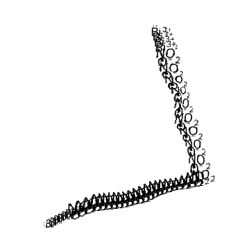 O=[N+]([O-])[O-].O=[N+]([O-])[O-].O=[N+]([O-])[O-].O=[N+]([O-])[O-].O=[N+]([O-])[O-].O=[N+]([O-])[O-].O=[N+]([O-])[O-].O=[N+]([O-])[O-].O=[N+]([O-])[O-].O=[N+]([O-])[O-].O=[N+]([O-])[O-].O=[N+]([O-])[O-].O=[N+]([O-])[O-].O=[N+]([O-])[O-].O=[N+]([O-])[O-].O=[N+]([O-])[O-].O=[N+]([O-])[O-].O=[N+]([O-])[O-].O=[N+]([O-])[O-].O=[N+]([O-])[O-].O=[N+]([O-])[O-].O=[N+]([O-])[O-].O=[N+]([O-])[O-].O=[N+]([O-])[O-].O=[N+]([O-])[O-].O=[N+]([O-])[O-].O=[N+]([O-])[O-].O=[N+]([O-])[O-].O=[N+]([O-])[O-].O=[N+]([O-])[O-].O=[N+]([O-])[O-].O=[N+]([O-])[O-].[Bi+3].[Bi+3].[Bi+3].[Bi+3].[Bi+3].[Bi+3].[Bi+3].[Bi+3].[Bi+3].[Bi+3]